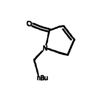 CCCCCN1CC=CC1=O